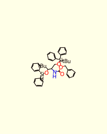 CC(C)(C)C(O[SiH](c1ccccc1)c1ccccc1)C(CO[Si](c1ccccc1)(c1ccccc1)C(C)(C)C)NC(=O)OCc1ccccc1